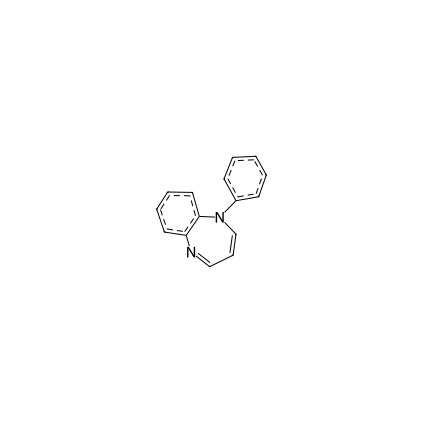 C1=CN(c2ccccc2)c2ccccc2N=C1